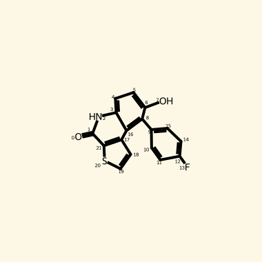 O=c1[nH]c2ccc(O)c(-c3ccc(F)cc3)c2c2ccsc12